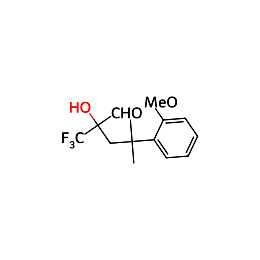 COc1ccccc1C(C)(C)CC(O)(C=O)C(F)(F)F